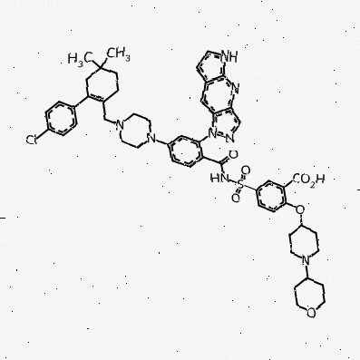 CC1(C)CCC(CN2CCN(c3ccc(C(=O)NS(=O)(=O)c4ccc(OC5CCN(C6CCOCC6)CC5)c(C(=O)O)c4)c(-n4ncc5nc6[nH]ccc6cc54)c3)CC2)=C(c2ccc(Cl)cc2)C1